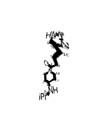 CC(C)NC1CCN(C(=O)CCCc2c[nH]nn2)CC1